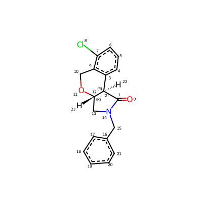 O=C1[C@@H]2c3cccc(Cl)c3CO[C@H]2CN1Cc1ccccc1